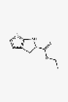 CCOC(=O)C1Cc2ccsc2N1